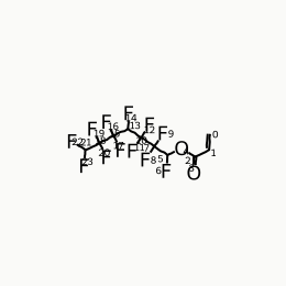 C=CC(=O)OC(F)C(F)(F)C(F)(F)C(F)C(F)(F)C(F)(F)C(F)F